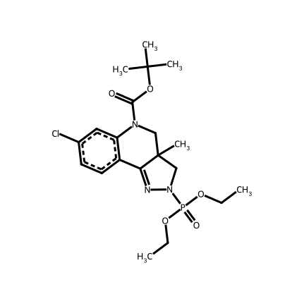 CCOP(=O)(OCC)N1CC2(C)CN(C(=O)OC(C)(C)C)c3cc(Cl)ccc3C2=N1